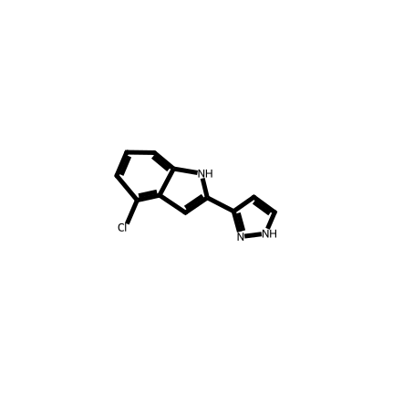 Clc1cccc2[nH]c(-c3cc[nH]n3)cc12